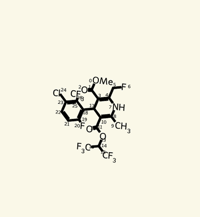 COC(=O)C1=C(CF)NC(C)=C(C(=O)OC(C(F)(F)F)C(F)(F)F)C1c1c(F)ccc(Cl)c1C(F)(F)F